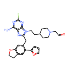 Nc1nc(F)nc2c1nc(Cc1cc3c(cc1-c1ccco1)CCO3)n2CCC1CCN(CC=O)CC1